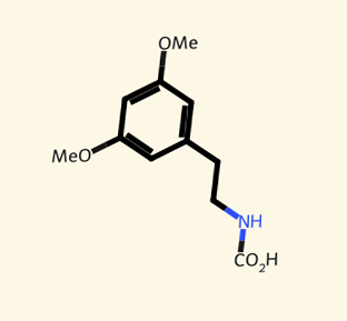 COc1cc(CCNC(=O)O)cc(OC)c1